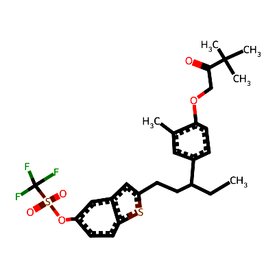 CCC(CCc1cc2cc(OS(=O)(=O)C(F)(F)F)ccc2s1)c1ccc(OCC(=O)C(C)(C)C)c(C)c1